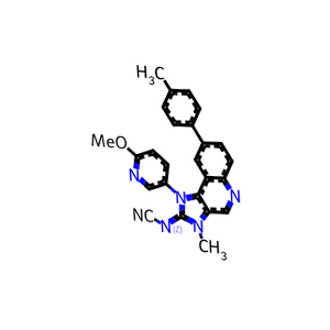 COc1ccc(-n2/c(=N\C#N)n(C)c3cnc4ccc(-c5ccc(C)cc5)cc4c32)cn1